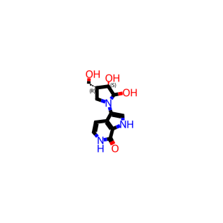 O=c1[nH]ccc2c(N3C[C@H](CO)[C@H](O)C3O)c[nH]c12